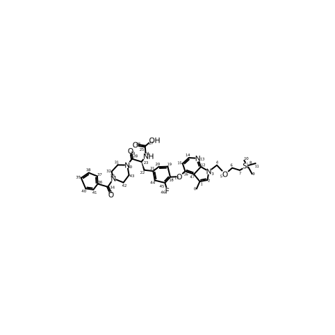 Cc1cn(COCC[Si](C)(C)C)c2nccc(Oc3ccc(C[C@H](NC(=O)O)C(=O)N4CCN(C(=O)c5ccccc5)CC4)cc3F)c12